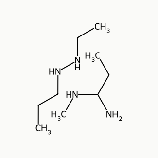 CCC(N)NC.CCCNNCC